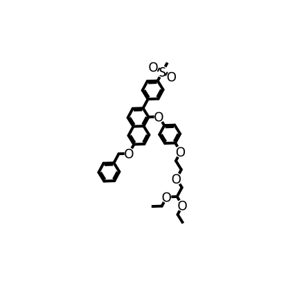 CCOC(COCCOc1ccc(Oc2c(-c3ccc(S(C)(=O)=O)cc3)ccc3cc(OCc4ccccc4)ccc23)cc1)OCC